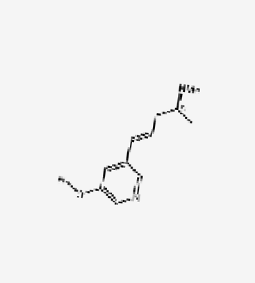 CN[C@@H](C)CC=Cc1cncc(OC(C)C)c1